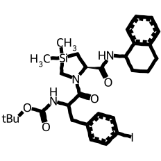 CC(C)(C)OC(=O)NC(Cc1ccc(I)cc1)C(=O)N1C[Si](C)(C)C[C@H]1C(=O)NC1CCCc2ccccc21